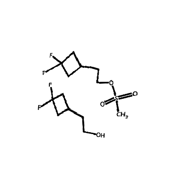 CS(=O)(=O)OCCC1CC(F)(F)C1.OCCC1CC(F)(F)C1